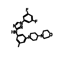 Cc1cc(Nc2ncn(-c3cc(F)cc(F)c3)n2)cc(N2CCC(N3CCOCC3)CC2)c1